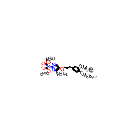 CNc1nc(N(C(=O)OC(C)(C)C)C(=O)OC(C)(C)C)ncc1OCCCc1ccc(OC)c(OC)c1